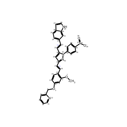 COc1cc(OCc2ccccn2)ccc1/C=C/c1cc(/C=C/c2ccc3cc[nH]c3c2)n(-c2ccc([N+](=O)[O-])cc2)n1